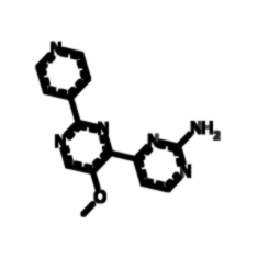 COc1cnc(-c2ccncc2)nc1-c1ccnc(N)n1